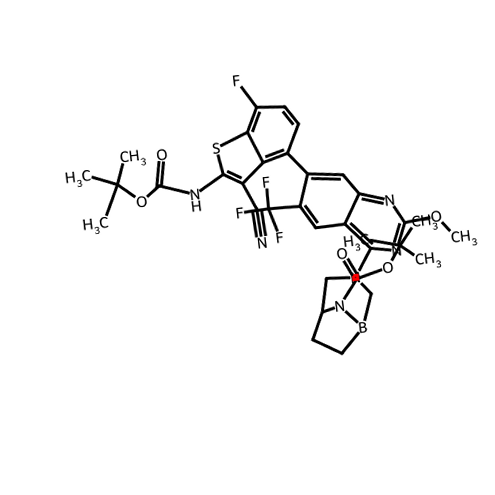 COc1nc(N2CB3CCC(C2)N3C(=O)OC(C)(C)C)c2cc(C(F)(F)F)c(-c3ccc(F)c4sc(NC(=O)OC(C)(C)C)c(C#N)c34)cc2n1